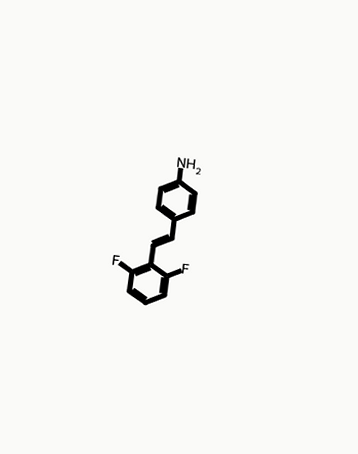 Nc1ccc(C=Cc2c(F)cccc2F)cc1